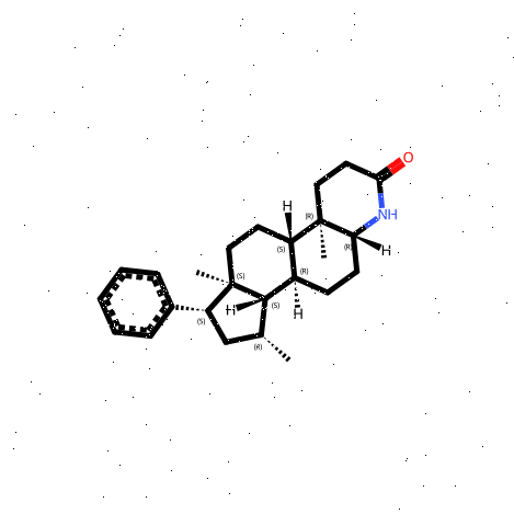 C[C@@H]1C[C@H](c2ccccc2)[C@@]2(C)CC[C@H]3[C@@H](CC[C@H]4NC(=O)CC[C@@]43C)[C@H]12